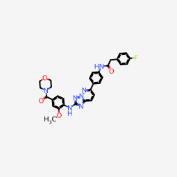 COc1cc(C(=O)N2CCOCC2)ccc1Nc1nc2ccc(-c3ccc(NC(=O)Cc4ccc(F)cc4)cc3)nn2n1